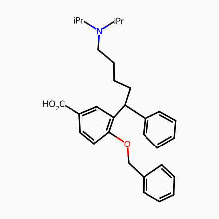 CC(C)N(CCCCC(c1ccccc1)c1cc(C(=O)O)ccc1OCc1ccccc1)C(C)C